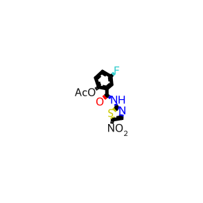 CC(=O)Oc1ccc(F)cc1C(=O)Nc1ncc([N+](=O)[O-])s1